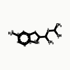 CC(O)OC(C)C1Cc2cc(N)ccc2N1